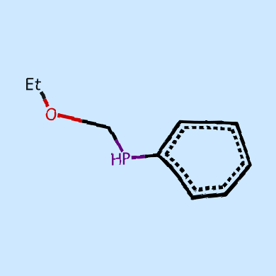 CCOCPc1ccccc1